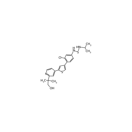 CC(C)NSNc1ccc(-c2csc(-c3ccnc(C(C)(C)CO)c3)c2)c(Cl)c1